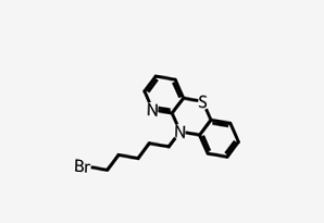 BrCCCCCN1c2ccccc2Sc2cccnc21